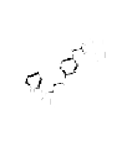 CN(CCOc1ccc(CC(C(=O)O)C(=O)O)cc1)c1ccccn1